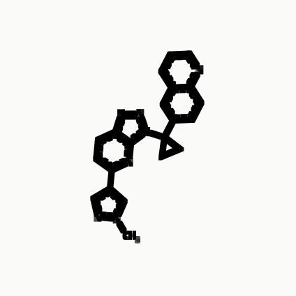 Cn1cc(-c2ccc3nnn(C4(c5ccc6ncccc6c5)CC4)c3n2)cn1